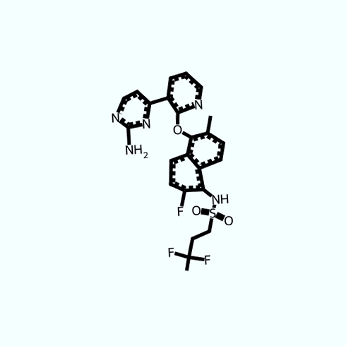 Cc1ccc2c(NS(=O)(=O)CCC(C)(F)F)c(F)ccc2c1Oc1ncccc1-c1ccnc(N)n1